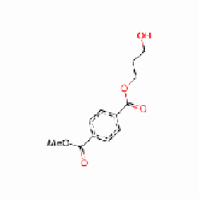 COC(=O)c1ccc(C(=O)OCCCO)cc1